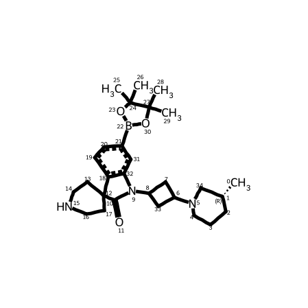 C[C@@H]1CCCN(C2CC(N3C(=O)C4(CCNCC4)c4ccc(B5OC(C)(C)C(C)(C)O5)cc43)C2)C1